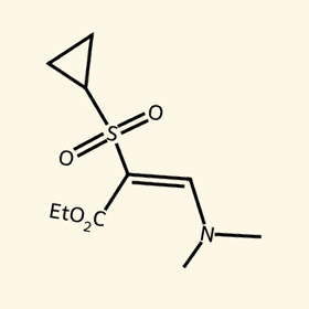 CCOC(=O)/C(=C\N(C)C)S(=O)(=O)C1CC1